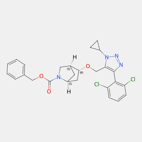 O=C(OCc1ccccc1)N1C[C@@H]2C[C@H]1C[C@H]2OCc1c(-c2c(Cl)cccc2Cl)nnn1C1CC1